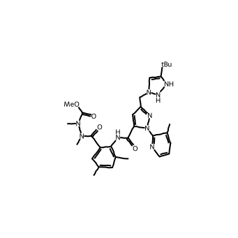 COC(=O)N(C)N(C)C(=O)c1cc(C)cc(C)c1NC(=O)c1cc(CN2C=C(C(C)(C)C)NN2)nn1-c1ncccc1C